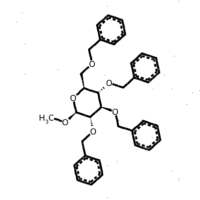 CO[C@H]1O[C@@H](COCc2ccccc2)[C@H](OCc2ccccc2)[C@@H](OCc2ccccc2)[C@@H]1OCc1ccccc1